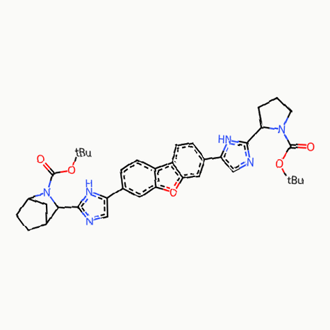 CC(C)(C)OC(=O)N1CCCC1c1ncc(-c2ccc3c(c2)oc2cc(-c4cnc(C5C6CCC(C6)N5C(=O)OC(C)(C)C)[nH]4)ccc23)[nH]1